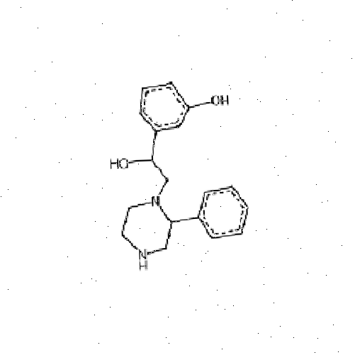 Oc1cccc(C(O)CN2CCNCC2c2ccccc2)c1